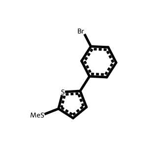 CSc1ccc(-c2cccc(Br)c2)s1